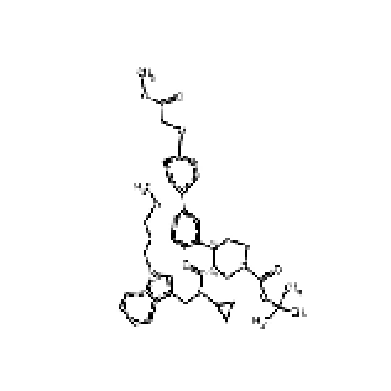 COCCCn1cc(CN(C(=O)[C@H]2CN(C(=O)OC(C)(C)C)CC[C@@H]2c2cccc(-c3ccc(OCC(=O)OC)nc3)c2)C2CC2)c2ccccc21